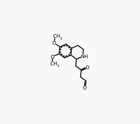 COc1cc2c(cc1OC)C(CC(=O)CC=O)NCC2